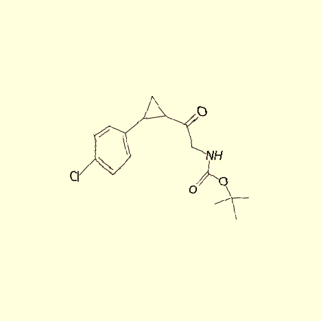 CC(C)(C)OC(=O)NCC(=O)C1CC1c1ccc(Cl)cc1